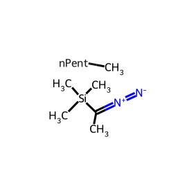 CC(=[N+]=[N-])[Si](C)(C)C.CCCCCC